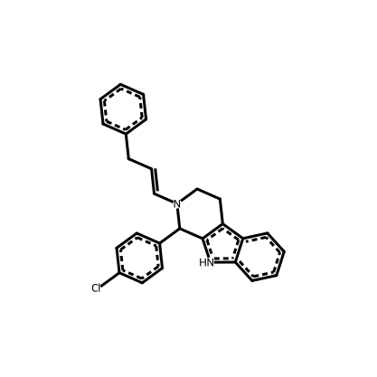 Clc1ccc(C2c3[nH]c4ccccc4c3CCN2C=CCc2ccccc2)cc1